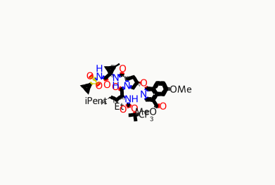 CCC[C@@H](C)C[C@@H](CC)[C@H](NC(=O)OC(C)(C)C(F)(F)F)C(=O)N1C[C@H](Oc2ncc(C(=O)OC)c3cc(OC)ccc23)C[C@H]1C(=O)N[C@]1(C(=O)NS(=O)(=O)C2CC2)C[C@H]1C